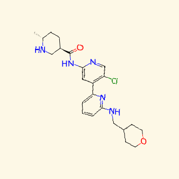 C[C@@H]1CC[C@@H](C(=O)Nc2cc(-c3cccc(NCC4CCOCC4)n3)c(Cl)cn2)CN1